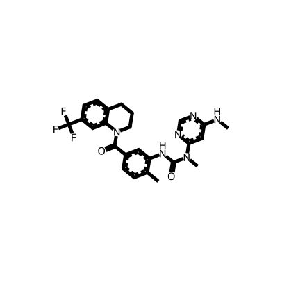 CNc1cc(N(C)C(=O)Nc2cc(C(=O)N3CCCc4ccc(C(F)(F)F)cc43)ccc2C)ncn1